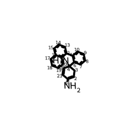 NC1=CCC(N)(c2ccccc2-c2cccc3ccccc23)C=C1